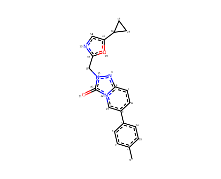 Cc1ccc(-c2ccc3nn(Cc4ncc(C5CC5)o4)c(=O)n3c2)cc1